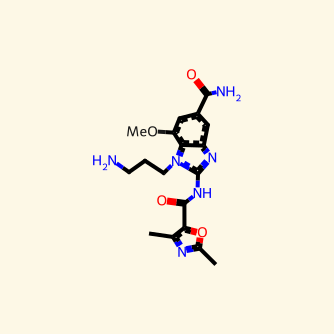 COc1cc(C(N)=O)cc2nc(NC(=O)c3oc(C)nc3C)n(CCCN)c12